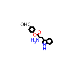 N[C@H](Cc1c[nH]c2ccccc12)C(=O)Oc1ccc(C=O)cc1